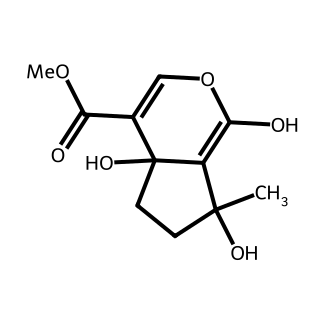 COC(=O)C1=COC(O)=C2C(C)(O)CCC12O